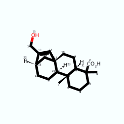 CC1(C(=O)O)CCC[C@@]2(C)[C@H]1CC[C@@]13C=C(CO)[C@H](CC[C@@H]12)C3